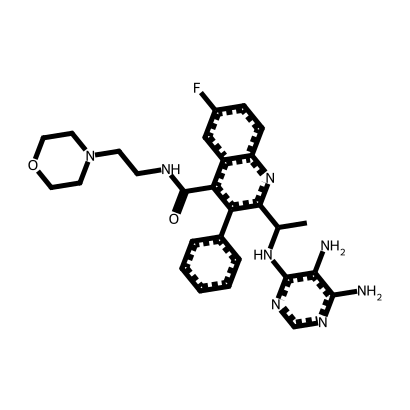 CC(Nc1ncnc(N)c1N)c1nc2ccc(F)cc2c(C(=O)NCCN2CCOCC2)c1-c1ccccc1